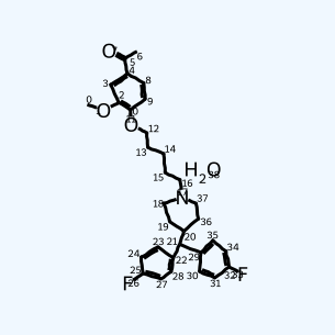 COc1cc(C(C)=O)ccc1OCCCCCN1CCC(C(c2ccc(F)cc2)c2ccc(F)cc2)CC1.O